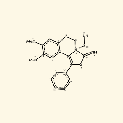 COc1cc2c(cc1OC)C1=C(c3ccccc3)SC(=N)[N+]1(SC#N)CC2